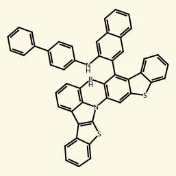 B1c2c(cc3sc4ccccc4c3c2-c2cc3ccccc3cc2Nc2ccc(-c3ccccc3)cc2)-n2c3sc4ccccc4c3c3cccc1c32